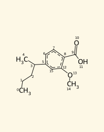 CCCC(C)c1ccc(C(=O)O)c(OC)c1